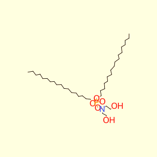 CCCCCCCCCCCCCCCCCCOP(=O)(OCCCCCCCCCCCCCCCCCC)ON(CCO)CCO